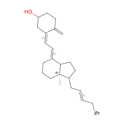 C=C1CCC(O)C/C1=C/C=C1\CCC[C@]2(C)C(C/C=C/CC(C)C)CCC12